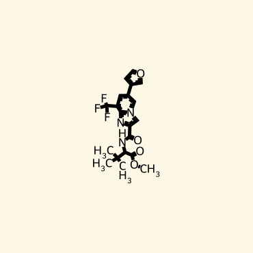 COC(=O)C(NC(=O)c1cn2cc(-c3ccoc3)cc(C(F)(F)F)c2n1)C(C)(C)C